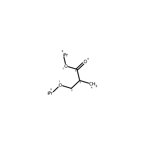 CC(C)OCC(C)C(=O)OC(C)C